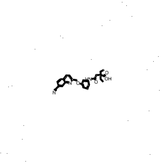 CCC(CC)(CC(=O)Nc1cccc(OCc2ccc3ccc(C#N)cc3n2)c1)C(=O)O